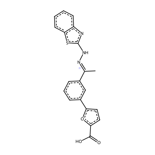 C/C(=N\Nc1nc2ccccc2s1)c1cccc(-c2ccc(C(=O)O)o2)c1